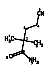 CC(C)([CH]CC#N)C(N)=O